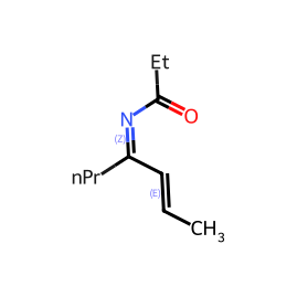 C/C=C/C(CCC)=N\C(=O)CC